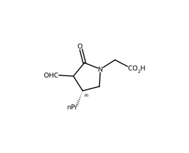 CCC[C@H]1CN(CC(=O)O)C(=O)C1C=O